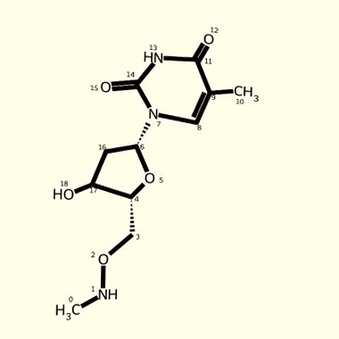 CNOC[C@H]1O[C@@H](n2cc(C)c(=O)[nH]c2=O)CC1O